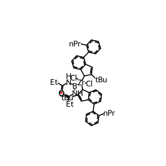 CCCc1ccccc1-c1cccc2c1C=C(C(C)(C)C)[CH]2[Zr]([Cl])([Cl])([B](NC(=O)CC)NC(=O)CC)[CH]1C(C(C)(C)C)=Cc2c(-c3ccccc3CCC)cccc21